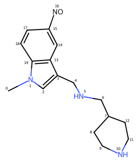 Cn1cc(CNCC2CCNCC2)c2cc(N=O)ccc21